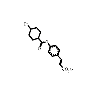 CCC1CCC(C(=O)Oc2ccc(C=CC(=O)O)cc2)CC1